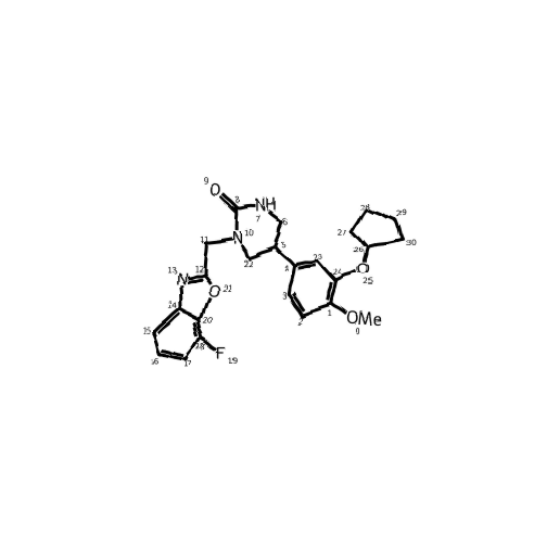 COc1ccc(C2CNC(=O)N(Cc3nc4cccc(F)c4o3)C2)cc1OC1CCCC1